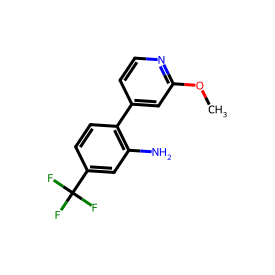 COc1cc(-c2ccc(C(F)(F)F)cc2N)ccn1